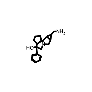 NCC1C2CN(CC(O)(c3ccccc3)C3CCCC3)CC12